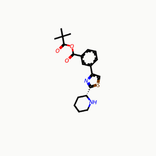 CC(C)(C)C(=O)OC(=O)c1cccc(-c2csc([C@H]3CCCCN3)n2)c1